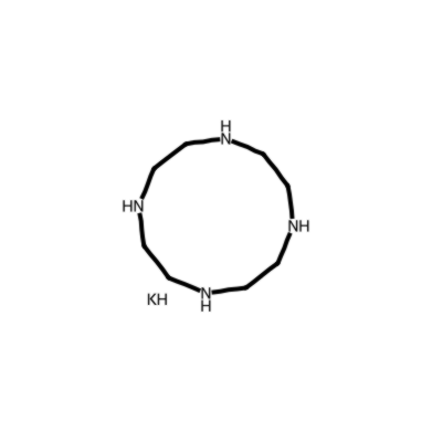 C1CNCCNCCNCCN1.[KH]